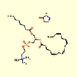 CCCCC/C=C\C/C=C\C/C=C\C/C=C\CCCC(=O)O[C@H](COC(=O)CCCCCCCCCCCCCCC)COP(=O)(O)OCC[N+](C)(C)C.O=C1CCCN1